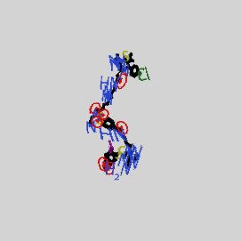 Cc1sc2c(c1C)C(c1ccc(Cl)cc1)=N[C@@H](CC(=O)NCc1cn(CCCC(=O)N(CC#N)S(=O)(=O)c3ccc(C(=O)NCCCn4c(Sc5cc6c(cc5I)OCO6)nc5c(N)ncnc54)cc3)nn1)c1nnc(C)n1-2